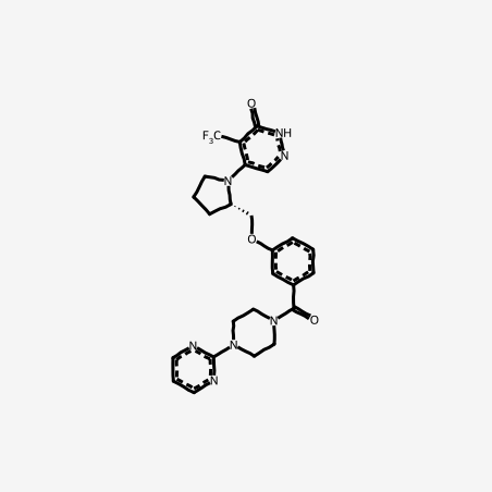 O=C(c1cccc(OC[C@@H]2CCCN2c2cn[nH]c(=O)c2C(F)(F)F)c1)N1CCN(c2ncccn2)CC1